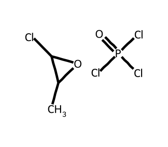 CC1OC1Cl.O=P(Cl)(Cl)Cl